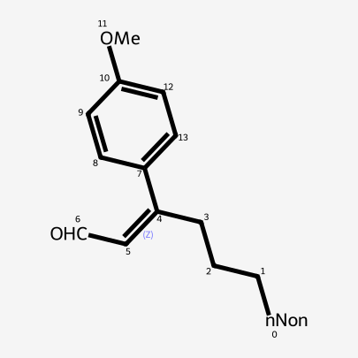 CCCCCCCCCCCC/C(=C/C=O)c1ccc(OC)cc1